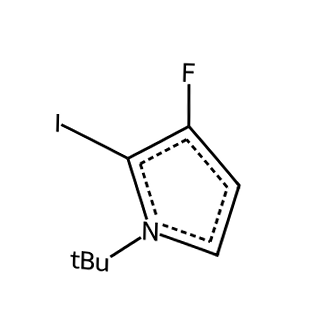 CC(C)(C)n1ccc(F)c1I